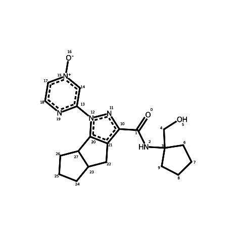 O=C(NC1(CO)CCCC1)c1nn(-c2c[n+]([O-])ccn2)c2c1CC1CCCC21